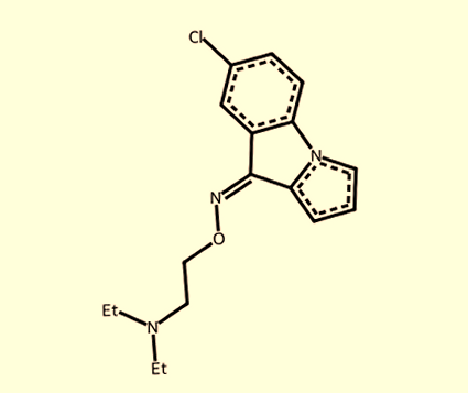 CCN(CC)CCON=C1c2cc(Cl)ccc2-n2cccc21